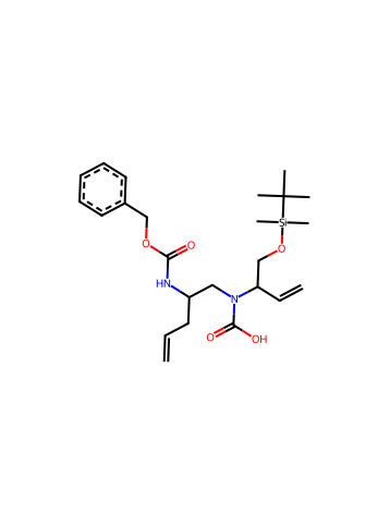 C=CCC(CN(C(=O)O)C(C=C)CO[Si](C)(C)C(C)(C)C)NC(=O)OCc1ccccc1